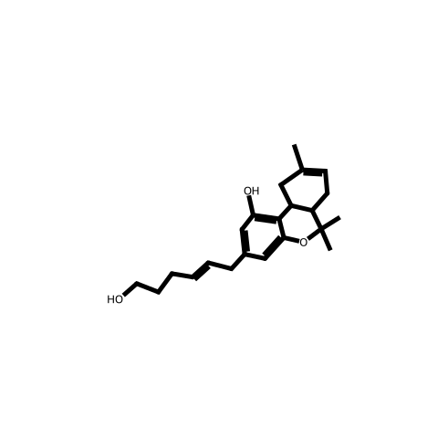 CC1=CCC2C(C1)c1c(O)cc(C/C=C/CCCO)cc1OC2(C)C